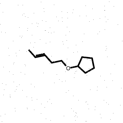 CC=CCCOC1CCCC1